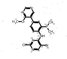 COc1ncncc1-c1ccc(Nc2nc(Cl)ncc2Br)c(P(C)C)c1